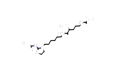 CC(C)/N=C1\N(C)CCN1CCCCCCNC(=O)C(N)CCCNC(N)=O